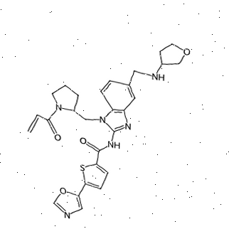 C=CC(=O)N1CCCC1Cn1c(NC(=O)c2ccc(-c3cnco3)s2)nc2cc(CNC3CCOC3)ccc21